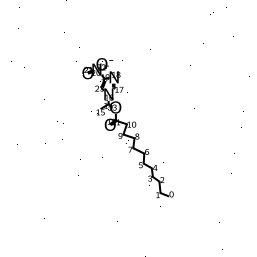 CCCCCCCCCCCC(=O)OC(C)n1cnc([N+](=O)[O-])c1